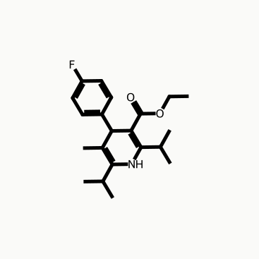 CCOC(=O)C1=C(C(C)C)NC(C(C)C)=C(C)C1c1ccc(F)cc1